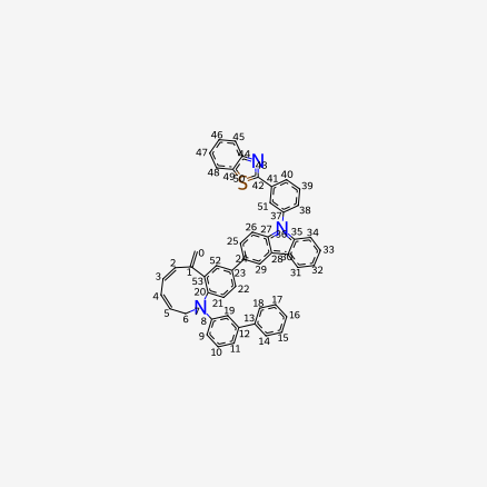 C=C1/C=C\C=C/CN(c2cccc(-c3ccccc3)c2)c2ccc(-c3ccc4c(c3)c3ccccc3n4-c3cccc(-c4nc5ccccc5s4)c3)cc21